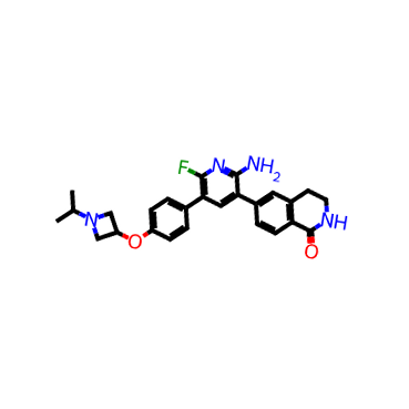 CC(C)N1CC(Oc2ccc(-c3cc(-c4ccc5c(c4)CCNC5=O)c(N)nc3F)cc2)C1